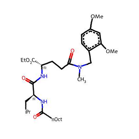 CCCCCCCCC(=O)N[C@@H](CC(C)C)C(=O)N[C@@H](CCC(=O)N(C)Cc1ccc(OC)cc1OC)C(=O)OCC